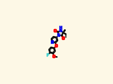 CC[C@@]1(C)NC(=O)N(c2ccnc(Oc3ccc(F)c(OC)c3)c2)C1=O